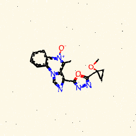 COC1(c2nnc(-c3ncn4c3c(C)[n+]([O-])c3ccccc34)o2)CC1